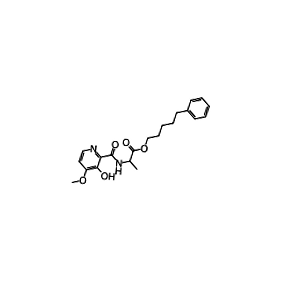 COc1ccnc(C(=O)NC(C)C(=O)OCCCCCc2ccccc2)c1O